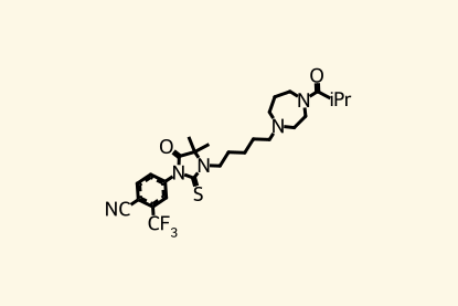 CC(C)C(=O)N1CCCN(CCCCCN2C(=S)N(c3ccc(C#N)c(C(F)(F)F)c3)C(=O)C2(C)C)CC1